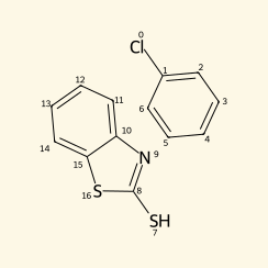 Clc1ccccc1.Sc1nc2ccccc2s1